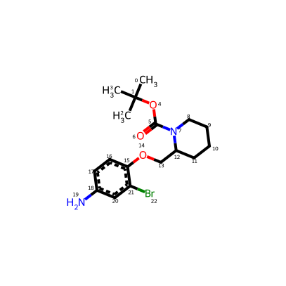 CC(C)(C)OC(=O)N1CCCCC1COc1ccc(N)cc1Br